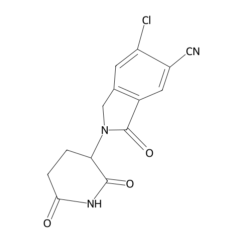 N#Cc1cc2c(cc1Cl)CN(C1CCC(=O)NC1=O)C2=O